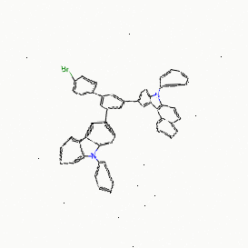 Brc1ccc(-c2cc(-c3ccc4c(c3)c3ccccc3n4-c3ccccc3)cc(-c3ccc4c(c3)c3c5ccccc5ccc3n4-c3ccccc3)c2)cc1